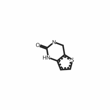 O=C1[N]Cc2sccc2N1